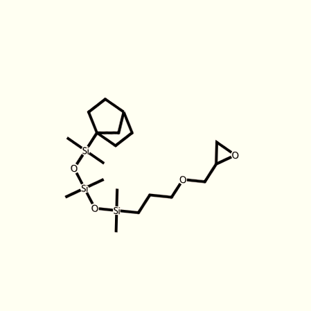 C[Si](C)(CCCOCC1CO1)O[Si](C)(C)O[Si](C)(C)C12CCC(CC1)C2